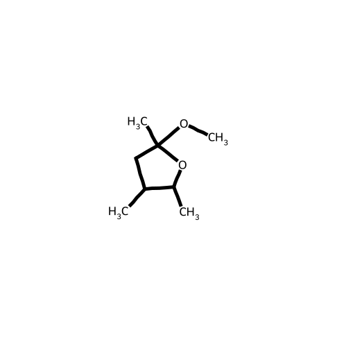 COC1(C)CC(C)C(C)O1